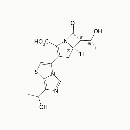 CC(O)c1ncn2c(C3=C(C(=O)O)N4C(=O)[C@H]([C@@H](C)O)[C@H]4C3)csc12